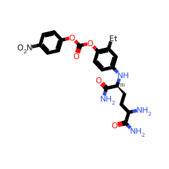 CCc1cc(N[C@@H](CCC(N)C(N)=O)C(N)=O)ccc1OC(=O)Oc1ccc([N+](=O)[O-])cc1